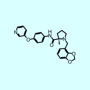 C[C@@]1(C(=O)Nc2ccc(Oc3cccnc3)cc2)CCCN1Cc1cccc2c1OCO2